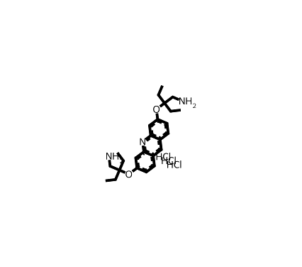 CCC(CC)(CN)Oc1ccc2cc3ccc(OC(CC)(CC)CN)cc3nc2c1.Cl.Cl.Cl